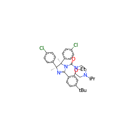 CCOc1cc(C(C)(C)C)ccc1C1=N[C@@](C)(c2ccc(Cl)cc2)[C@@](C)(c2ccc(Cl)cc2)N1C(=O)N1CCN(C(C)C)CC1